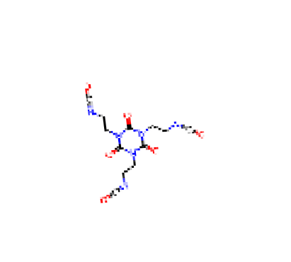 O=C=NCCn1c(=O)n(CCN=C=O)c(=O)n(CCN=C=O)c1=O